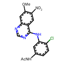 COc1cc2ncnc(Nc3cc(NC(C)=O)ccc3Cl)c2cc1[N+](=O)[O-]